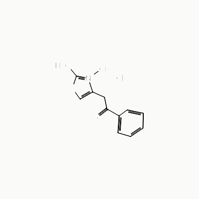 Cc1scc(CC(=O)c2ccccc2)[n+]1C.[Cl-]